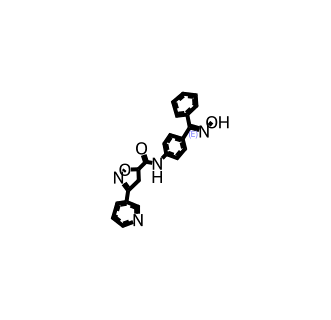 O=C(Nc1ccc(/C(=N/O)c2ccccc2)cc1)C1CC(c2cccnc2)=NO1